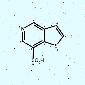 O=C(O)c1cncc2ccsc12